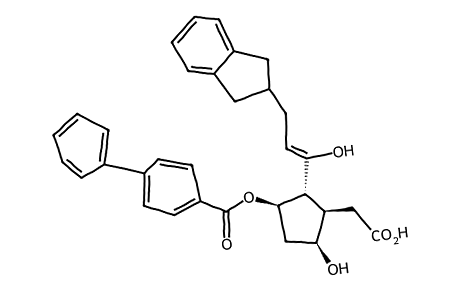 O=C(O)C[C@@H]1[C@@H](C(O)=CCC2Cc3ccccc3C2)[C@H](OC(=O)c2ccc(-c3ccccc3)cc2)C[C@@H]1O